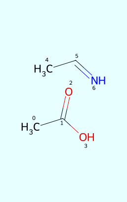 CC(=O)O.CC=N